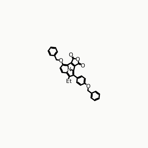 CCc1c(-c2ccc(OCc3ccccc3)cc2)c2c3c(c4c(OCc5ccccc5)ccc1n42)C(=O)OC3=O